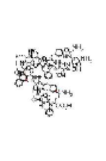 CC(C)C[C@H](NC(=O)[C@H](Cc1ccccc1)NC(=O)[C@H](Cc1ccccc1)NC(=O)[C@H](CO)NC(=O)[C@H](CO)NC(=O)[C@H](CC(N)=O)NC(=O)CN)C(=O)N[C@@H](CC(C)C)C(=O)N[C@@H](CO)C(=O)N[C@@H](Cc1ccccc1)C(=O)N[C@@H](Cc1ccccc1)C(=O)N[C@@H](Cc1ccccc1)C(=O)N[C@@H](CO)C(=O)N[C@@H](Cc1ccccc1)C(=O)N[C@@H](CCC(N)=O)C(=O)O